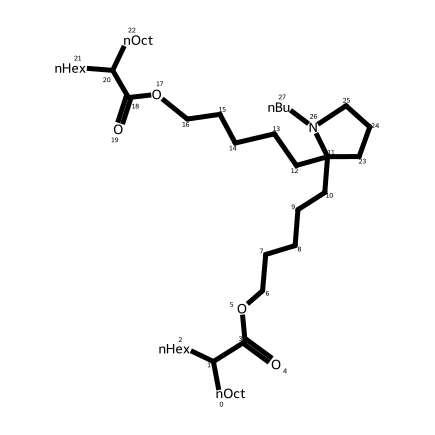 CCCCCCCCC(CCCCCC)C(=O)OCCCCCC1(CCCCCOC(=O)C(CCCCCC)CCCCCCCC)CCCN1CCCC